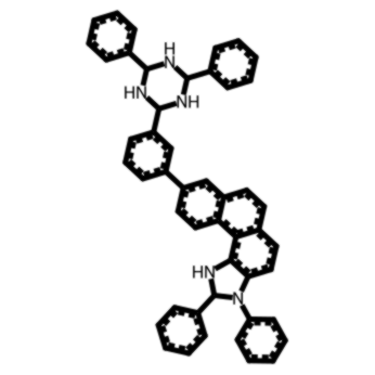 c1ccc(C2NC(c3ccccc3)NC(c3cccc(-c4ccc5c(ccc6ccc7c(c65)NC(c5ccccc5)N7c5ccccc5)c4)c3)N2)cc1